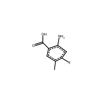 Cc1cc(C(=O)O)c(N)cc1F